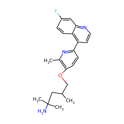 Cc1nc(-c2ccnc3cc(F)ccc23)ccc1OCC(C)CC(C)(C)N